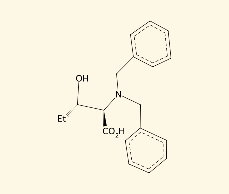 CC[C@H](O)[C@H](C(=O)O)N(Cc1ccccc1)Cc1ccccc1